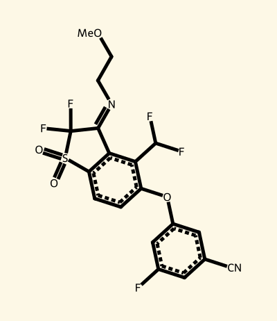 COCCN=C1c2c(ccc(Oc3cc(F)cc(C#N)c3)c2C(F)F)S(=O)(=O)C1(F)F